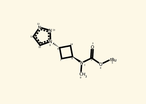 CN(C(=O)OC(C)(C)C)[C@H]1C[C@H](n2ccnn2)C1